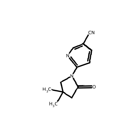 CC1(C)CC(=O)N(c2ccc(C#N)cn2)C1